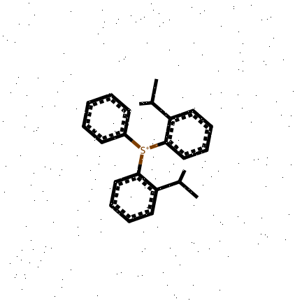 CC(C)c1ccccc1[S+](c1ccccc1)c1ccccc1C(C)C